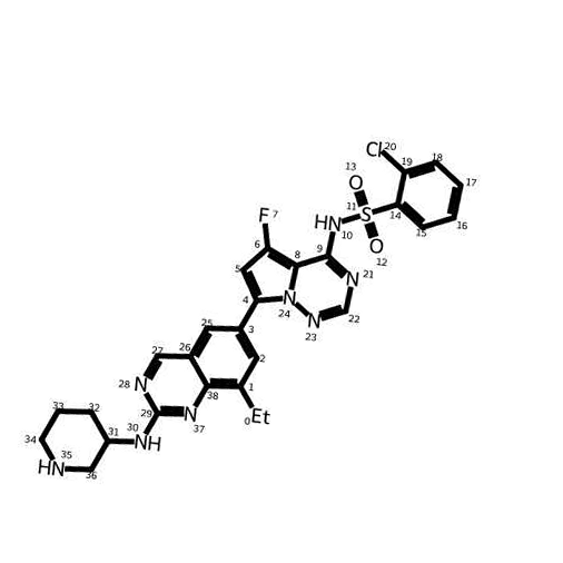 CCc1cc(-c2cc(F)c3c(NS(=O)(=O)c4ccccc4Cl)ncnn23)cc2cnc(NC3CCCNC3)nc12